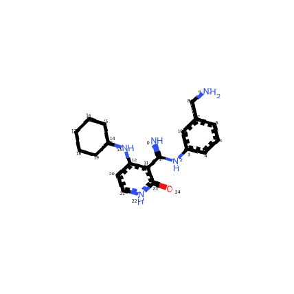 N=C(Nc1cccc(CN)c1)c1c(NC2CCCCC2)cc[nH]c1=O